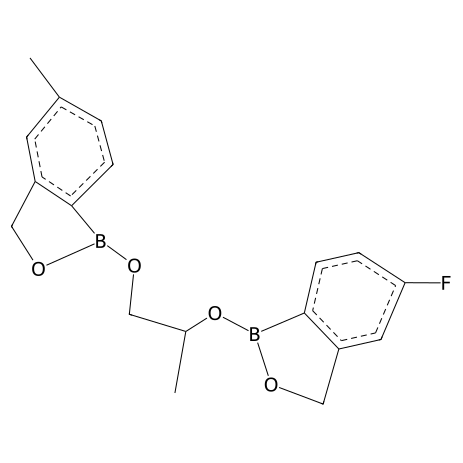 Cc1ccc2c(c1)COB2OCC(C)OB1OCc2cc(F)ccc21